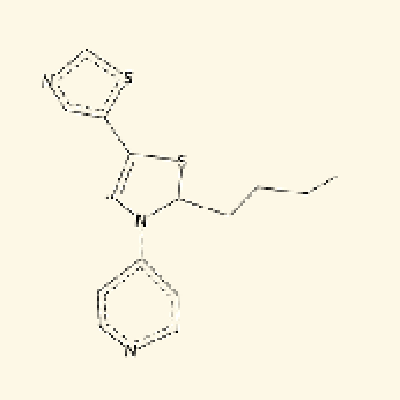 CCCCC1SC(c2cncs2)=[C]N1c1ccncc1